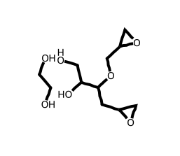 OCC(O)C(CC1CO1)OCC1CO1.OCCO